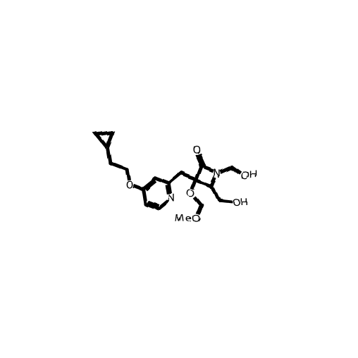 COCOC1(Cc2cc(OCCC3CC3)ccn2)C(=O)N(CO)C1CO